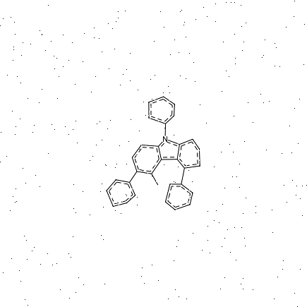 Cc1c(-c2ccccc2)ccc2c1c1c(-c3ccccc3)cccc1n2-c1ccccc1